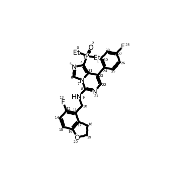 CCP(=O)(CC)c1ncn2c(NCc3c(F)ccc4c3CCO4)ncc(-c3ccc(F)cc3)c12